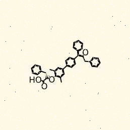 Cc1cc(-c2ccc(-c3c(Cc4ccccc4)oc4ccccc34)cc2)cc(C)c1O[C@@H](Cc1ccccc1)C(=O)O